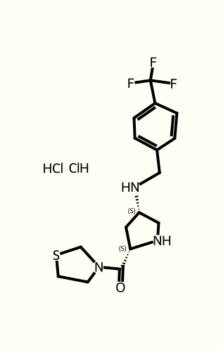 Cl.Cl.O=C([C@@H]1C[C@H](NCc2ccc(C(F)(F)F)cc2)CN1)N1CCSC1